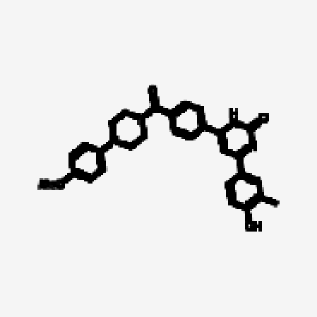 COc1ccc(N2CCN(C(=O)c3ccc(-c4cc(-c5ccc(O)c(C)c5)nc(=O)[nH]4)cc3)CC2)cc1